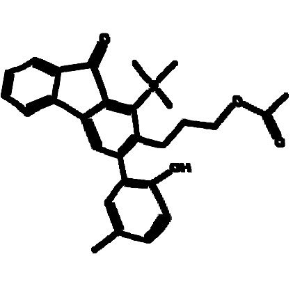 CC(=O)OCCCc1c(-c2cc(C)ccc2O)cc2c(c1[Si](C)(C)C)C(=O)c1ccccc1-2